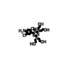 Nc1cc(Cl)c(C2=NC(N(CCO)CCO)=NC(N(CCO)CCO)N2N)cc1Cl